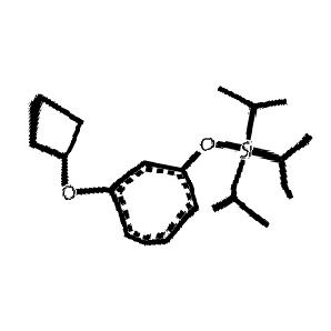 CC(C)[Si](Oc1cccc(OC2CCC2)c1)(C(C)C)C(C)C